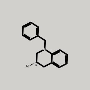 CC(=O)[C@H]1Cc2ccccc2N(Cc2ccccc2)C1